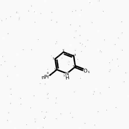 CCCc1cc[c]c(=O)[nH]1